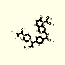 C=C(C)C(=O)N1CCN(C(CC)c2ccc(C(C)Nc3ncc4ccc(=O)n(C(C)C)c4n3)cc2)CC1